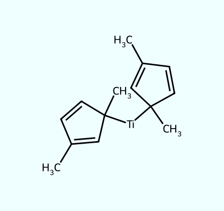 CC1=C[C](C)([Ti][C]2(C)C=CC(C)=C2)C=C1